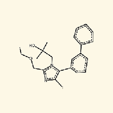 CCOCc1nc(I)c(-c2cccc(-c3ccccc3)c2)n1CC(C)(C)O